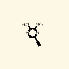 C#Cc1cnc(N)c(N)n1